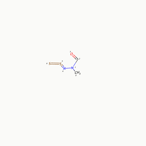 CN(C=O)N=S=S